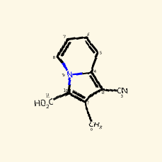 Cc1c(C#N)c2ccccn2c1C(=O)O